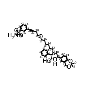 CC1(C)OCc2cc([C@@H](O)CN(CCCCCCOCCC#Cc3cccc(S(N)(=O)=O)c3)[C@H](CO)c3ccccc3)ccc2O1